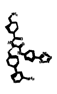 NCC1CCC(C(=O)N[C@@H](Cc2ccc(-c3cncc(N)c3)cc2)C(=O)Nc2ccc(-c3nnn[nH]3)cc2)CC1